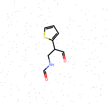 O=[C]C(CNC=O)c1cccs1